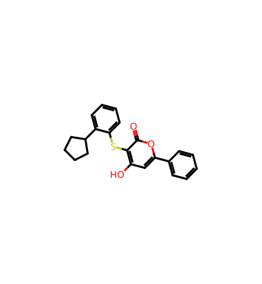 O=c1oc(-c2ccccc2)cc(O)c1Sc1ccccc1C1CCCC1